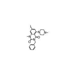 CN1CCN(c2cc(I)cc3c2c(=O)n(Cc2ccccc2)c(=O)n3C)CC1